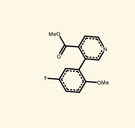 COC(=O)c1ccncc1-c1cc(F)ccc1OC